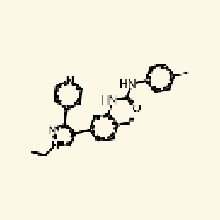 CCn1cc(-c2ccc(F)c(NC(=O)Nc3ccc(C)cc3)c2)c(-c2ccncc2)n1